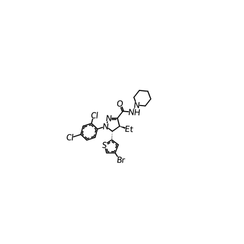 CC[C@@H]1C(C(=O)NN2CCCCC2)=NN(c2ccc(Cl)cc2Cl)[C@H]1c1cc(Br)cs1